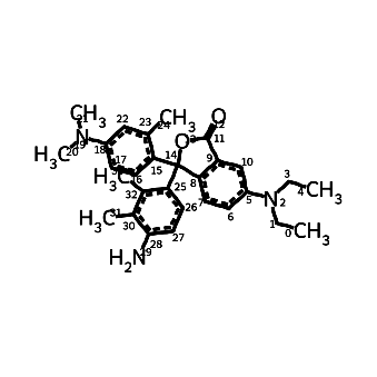 CCN(CC)c1ccc2c(c1)C(=O)OC2(c1ccc(N(C)C)cc1C)c1ccc(N)c(C)c1C